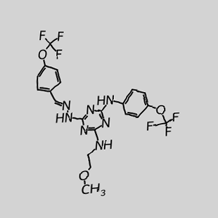 COCCNc1nc(N/N=C/c2ccc(OC(F)(F)F)cc2)nc(Nc2ccc(OC(F)(F)F)cc2)n1